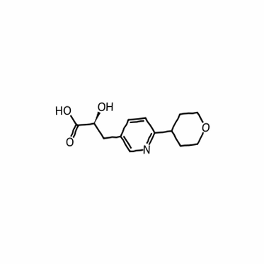 O=C(O)[C@@H](O)Cc1ccc(C2CCOCC2)nc1